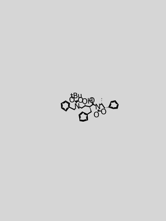 C[C@@H]1[C@H](c2ccccc2)OC(=O)N1C(=O)[C@@H](Cc1ccccc1)[C@@H](O)CN(Cc1ccccc1)C(=O)OC(C)(C)C